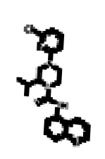 CC(C)C1CN(c2cccc(Cl)n2)CCN1C(=S)Nc1cccc2ncccc12